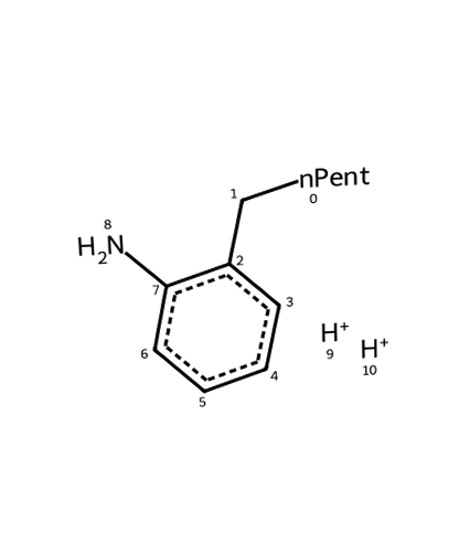 CCCCCCc1ccccc1N.[H+].[H+]